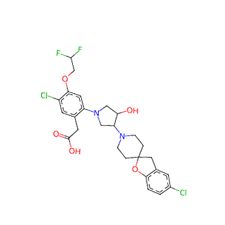 O=C(O)Cc1cc(Cl)c(OCC(F)F)cc1N1CC(O)C(N2CCC3(CC2)Cc2cc(Cl)ccc2O3)C1